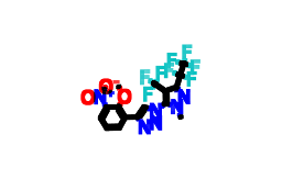 COc1c(-c2cn(-c3c(C(F)(F)F)c(C(F)(F)C(F)(F)F)nn3C)nn2)cccc1[N+](=O)[O-]